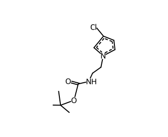 CC(C)(C)OC(=O)NCCn1ccc(Cl)c1